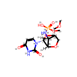 COC[C@@]12CO[C@@H]([C@H](n3ccc(=O)[nH]c3=O)O1)[C@@H]2NP(=O)(O)OC